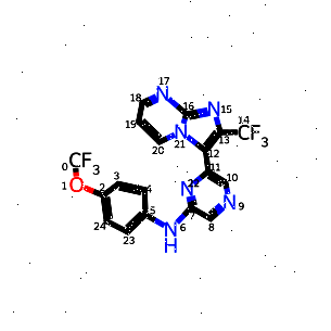 FC(F)(F)Oc1ccc(Nc2cncc(-c3c(C(F)(F)F)nc4ncccn34)n2)cc1